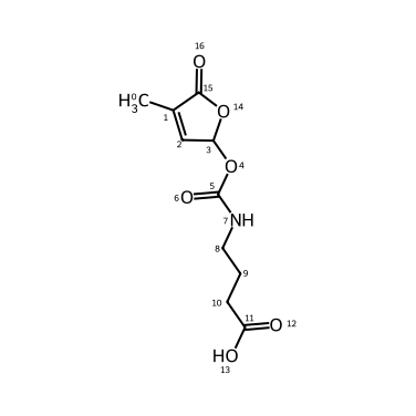 CC1=CC(OC(=O)NCCCC(=O)O)OC1=O